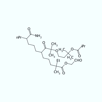 CCCC(CCCC(CCCC(C)(CC)C(=O)OCC=O)C(=O)C(C)(C)OCCC(C)(C)OC(=O)C(C)C)C(N)=O